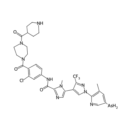 Cc1cc([AsH2])cnc1-n1cc(-c2cnc(C(=O)Nc3ccc(C(=O)N4CCN(C(=O)C5CCNCC5)CC4)c(Cl)c3)n2C)c(C(F)(F)F)n1